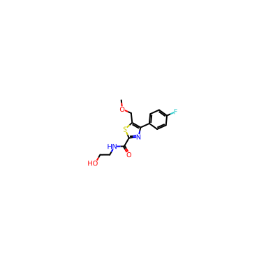 COCc1sc(C(=O)NCCO)nc1-c1ccc(F)cc1